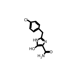 NC(=O)c1nc(Cc2ccc(Cl)cc2)[nH]c1O